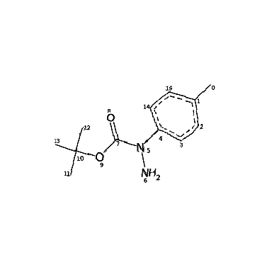 Cc1ccc(N(N)C(=O)OC(C)(C)C)cc1